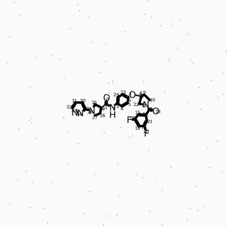 O=C(Nc1ccc(O[C@H]2CCN(C(=O)c3cc(F)cc(F)c3)C2)cc1)[C@H]1CCN(c2cccnn2)C1